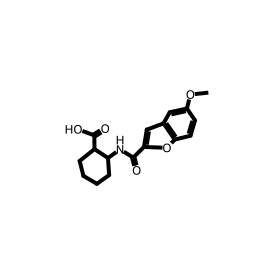 COc1ccc2oc(C(=O)NC3CCCCC3C(=O)O)cc2c1